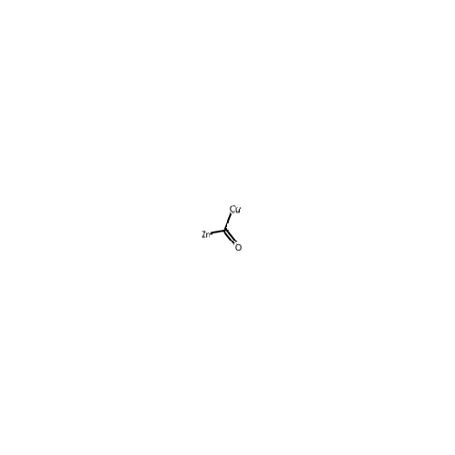 O=[C]([Cu])[Zn]